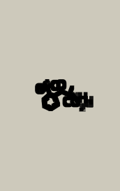 CC(N)(C(=O)O)C(=O)c1ccccc1S(C)(=O)=O